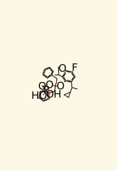 CC1COc2c(F)cc(C(C)C3CC3)c(OC(Cc3ccccc3)(Cc3ccccc3)OP(=O)(O)O)c21